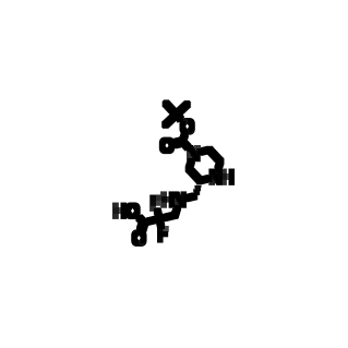 CC(C)(C)OC(=O)N1CCN[C@H](CNCC(F)(F)C(=O)O)C1